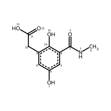 CNC(=O)c1cc(O)cc(CC(=O)O)c1O